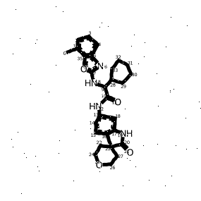 Cc1cccc2nc(NC(C(=O)Nc3ccc4c(c3)NC(=O)C43CCOCC3)C3CCCCC3)oc12